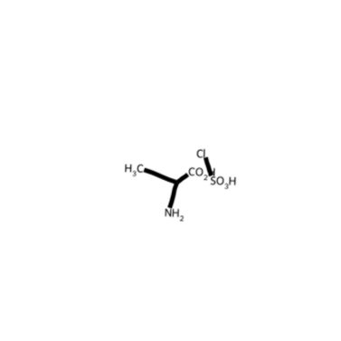 CC(N)C(=O)O.O=S(=O)(O)Cl